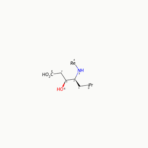 CC(C)C[C@H]([NH][Re])[C@@H](O)CC(=O)O